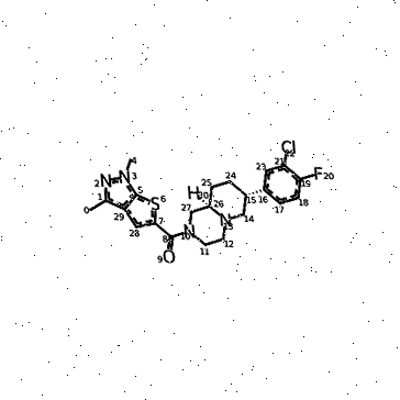 Cc1nn(C)c2sc(C(=O)N3CCN4C[C@@H](c5ccc(F)c(Cl)c5)CC[C@@H]4C3)cc12